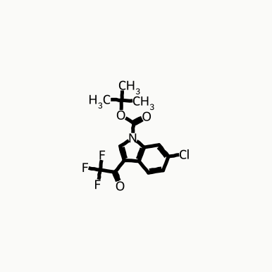 CC(C)(C)OC(=O)n1cc(C(=O)C(F)(F)F)c2ccc(Cl)cc21